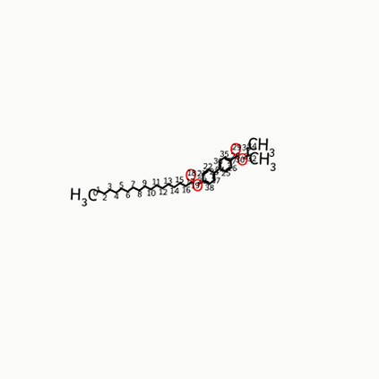 CCCCCCCCCCCCCCCCCC(=O)Oc1ccc(-c2ccc(C(=O)OC(C)CC)cc2)cc1